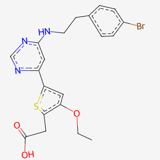 CCOc1cc(-c2cc(NCCc3ccc(Br)cc3)ncn2)sc1CC(=O)O